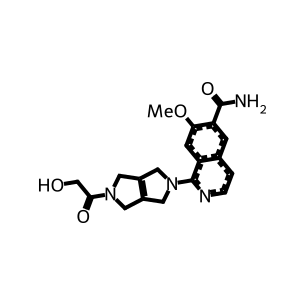 COc1cc2c(N3CC4=C(CN(C(=O)CO)C4)C3)nccc2cc1C(N)=O